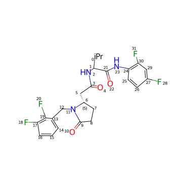 CC(C)C(NC(=O)C[C@@H]1CCC(=O)N1Cc1cccc(F)c1F)C(=O)Nc1ccc(F)cc1F